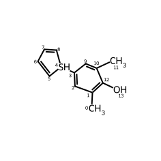 Cc1cc([SH]2C=CC=C2)cc(C)c1O